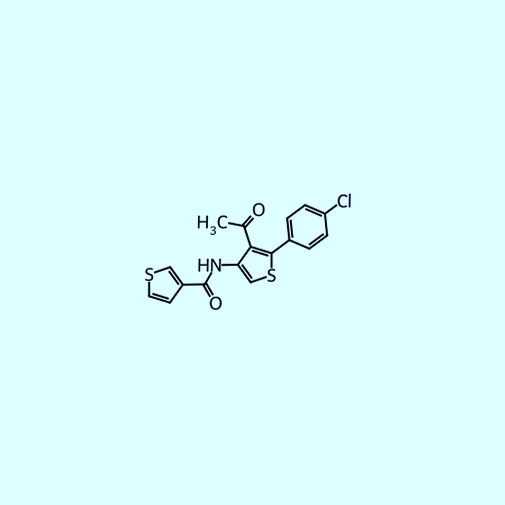 CC(=O)c1c(NC(=O)c2ccsc2)csc1-c1ccc(Cl)cc1